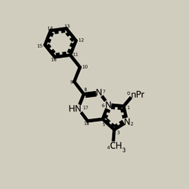 CCCc1nc(C)c2n1N=C(CCc1ccccc1)NC2